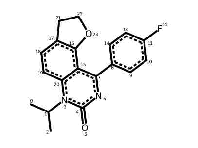 CC(C)n1c(=O)nc(-c2ccc(F)cc2)c2c3c(ccc21)CCO3